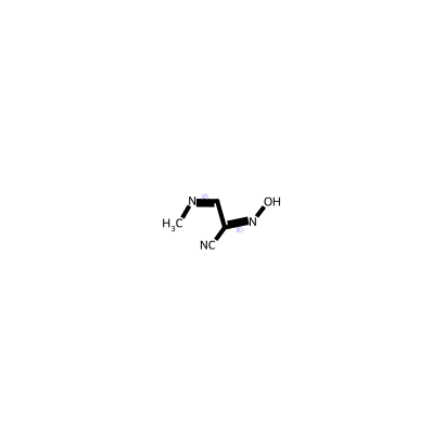 C/N=C\C(C#N)=N/O